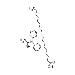 CCCCCCCCCCCCCCCCCC(=O)O.N=C(N)N(c1ccccc1)c1ccccc1